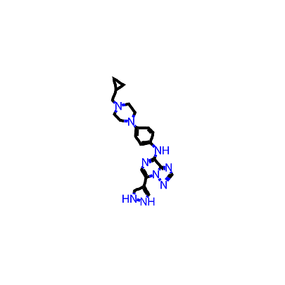 C1=C(c2cnc(Nc3ccc(N4CCN(CC5CC5)CC4)cc3)c3ncnn23)CNN1